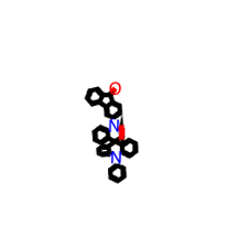 O=C1c2ccccc2-c2cc(N3c4ccccc4C4(c5ccccc5N(c5ccccc5)c5ccccc54)c4ccccc43)ccc21